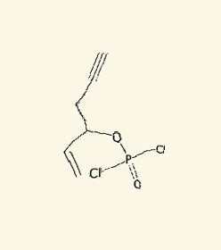 C#CCC(C=C)OP(=O)(Cl)Cl